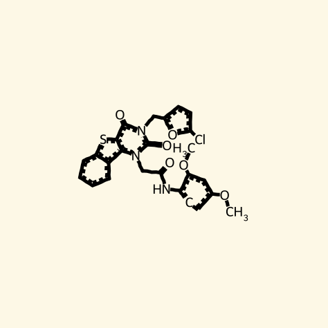 COc1ccc(NC(=O)Cn2c(=O)n(Cc3ccc(Cl)o3)c(=O)c3sc4ccccc4c32)c(OC)c1